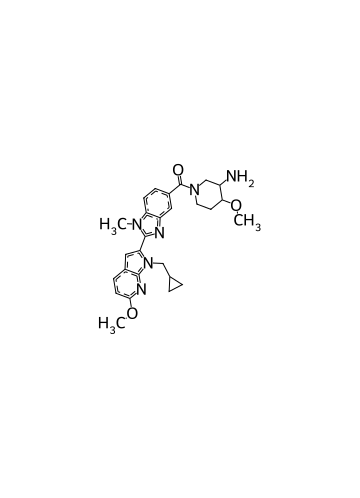 COc1ccc2cc(-c3nc4cc(C(=O)N5CCC(OC)C(N)C5)ccc4n3C)n(CC3CC3)c2n1